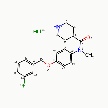 CN(C(=O)C1CCNCC1)c1ccc(OCc2cccc(F)c2)cc1.Cl